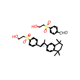 C/C(=C\c1ccc(S(=O)(=O)CCO)cc1)c1ccc2c(c1)C(C)(C)CCC2(C)C.O=Cc1ccc(S(=O)(=O)CCO)cc1